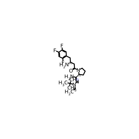 C=CN(/N=C(\N)[C@@H]1CCCN1C(=O)C[C@H](N)Cc1cc(F)c(F)cc1F)C(C)(C)C